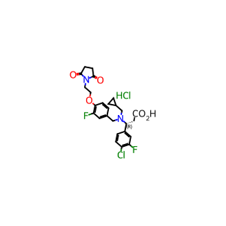 Cl.O=C(O)C[C@H](c1ccc(Cl)c(F)c1)N(Cc1ccc(OCCN2C(=O)CCC2=O)c(F)c1)CC1CC1